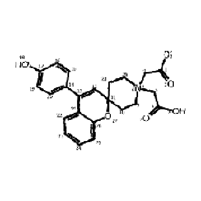 O=C([O-])C[N+]1(CC(=O)O)CCC2(C=C(c3ccc(O)cc3)c3ccccc3O2)CC1